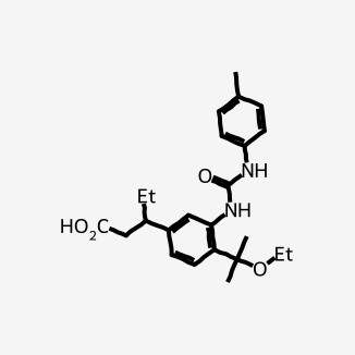 CCOC(C)(C)c1ccc(C(CC)CC(=O)O)cc1NC(=O)Nc1ccc(C)cc1